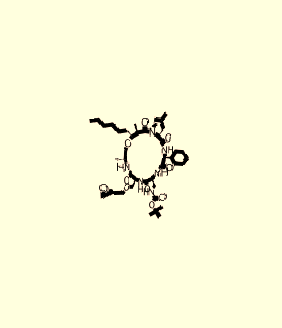 CCCCCC[C@H]1OC[C@@H](C)NC(=O)[C@H](COCC2CO2)NC(=O)[C@H](CNC(=O)OC(C)(C)C)NC(=O)[C@H](C2CCCCC2)NC(=O)[C@H](CC(C)C)N(C)C(=O)[C@@H]1C